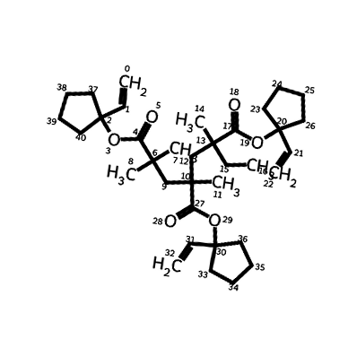 C=CC1(OC(=O)C(C)(C)CC(C)(CC(C)(CC)C(=O)OC2(C=C)CCCC2)C(=O)OC2(C=C)CCCC2)CCCC1